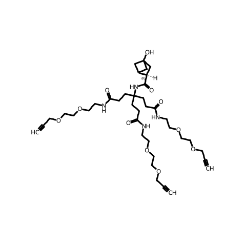 C#CCOCCOCCNC(=O)CCC(CCC(=O)NCCOCCOCC#C)(CCC(=O)NCCOCCOCC#C)NC(=O)[C@@H]1CC2(O)CC1C2